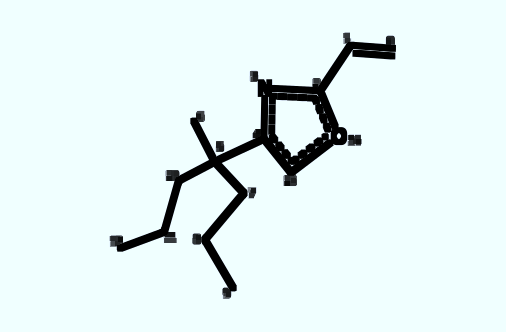 C=Cc1nc(C(C)(CCC)CCC)co1